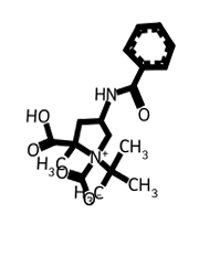 CC(C)(C)[N+]1(C(=O)[O-])CC(NC(=O)c2ccccc2)CC1(C)C(=O)O